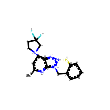 CC(C)(C)c1cc(N2CCC(F)(F)C2)c2nnn(Cc3ccccc3S)c2n1